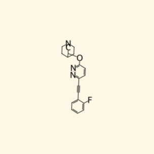 Fc1ccccc1C#Cc1ccc(OC2CN3CCC2CC3)nn1